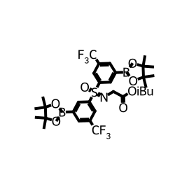 CC(C)COC(=O)CN=S(=O)(c1cc(B2OC(C)(C)C(C)(C)O2)cc(C(F)(F)F)c1)c1cc(B2OC(C)(C)C(C)(C)O2)cc(C(F)(F)F)c1